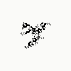 C=CCCC(=O)N[C@@H](COCc1cncc(F)c1)C(=O)O[C@H]1[C@@H](O)[C@H](n2cnc3c(N)ncnc32)O[C@@H]1COP(=O)(O)O[C@H]1[C@@H](O)[C@H](n2ccc(N)nc2=O)O[C@@H]1COP(=O)(O)O